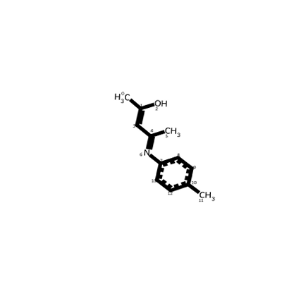 C/C(O)=C/C(C)=N/c1ccc(C)cc1